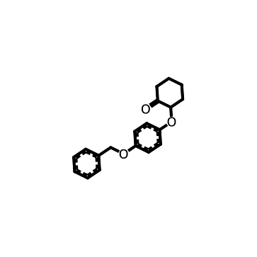 O=C1CCCCC1Oc1ccc(OCc2ccccc2)cc1